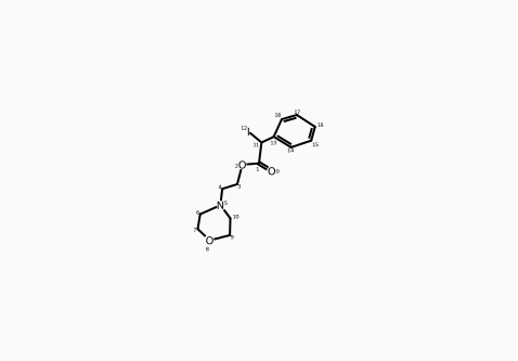 O=C(OCCN1CCOCC1)C(I)c1ccccc1